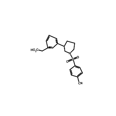 N#Cc1ccc(S(=O)(=O)N2CCCC(c3cccc(CC(=O)O)c3)C2)cc1